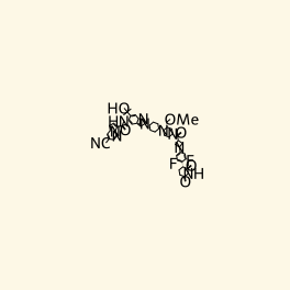 COC[C@@H]1CN(C(=O)C2CN(c3cc(F)c([C@H]4CCC(=O)NC4=O)c(F)c3)C2)CCN1C1CCC(n2cc3cc(NC(=O)c4ccc5cc(C#N)cnn45)c(C(C)(C)O)cc3n2)CC1